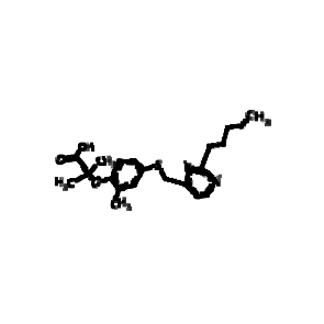 CCCCCc1nccc(CSc2ccc(OC(C)(C)C(=O)O)c(C)c2)n1